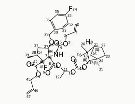 C=CCOC(=O)N[C@@]1(C(=O)OC(C)OC(=O)O[C@H]2C(C)(C)[C@H]3CC[C@]2(C)C3)[C@H](OCc2ccc(F)cc2)C[C@H](C)[C@]1(F)C(=O)OCC=C